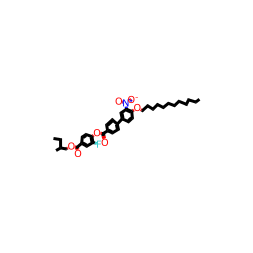 CCCCCCCCCCCCOc1ccc(-c2ccc(C(=O)Oc3ccc(C(=O)OCC(C)CC)cc3F)cc2)cc1[N+](=O)[O-]